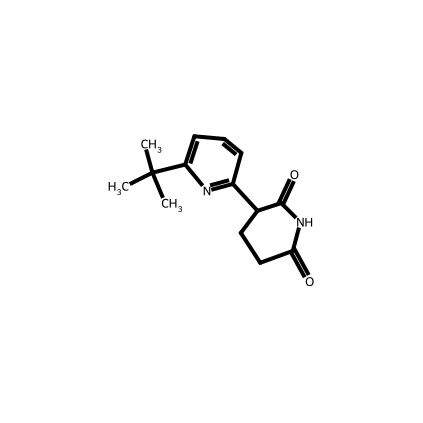 CC(C)(C)c1cccc(C2CCC(=O)NC2=O)n1